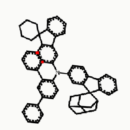 c1ccc(-c2ccc(N(c3ccc4c(c3)-c3ccccc3C43CCCCC3)c3ccc4c(c3)C3(c5ccccc5-4)C4CC5CC(C4)CC3C5)c(-c3ccccc3)c2)cc1